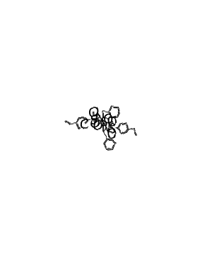 C=Cc1ccc(S(=O)(=O)N(Cc2ccccc2)S(=O)(=O)N(Cc2ccccc2)S(=O)(=O)c2ccc(C=C)cc2)cc1